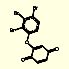 O=C1C=CC(=O)C(Oc2ccc(Br)c(Br)c2Br)=C1